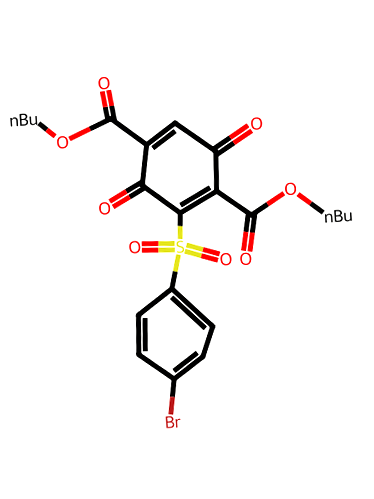 CCCCOC(=O)C1=CC(=O)C(C(=O)OCCCC)=C(S(=O)(=O)c2ccc(Br)cc2)C1=O